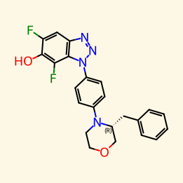 Oc1c(F)cc2nnn(-c3ccc(N4CCOC[C@H]4Cc4ccccc4)cc3)c2c1F